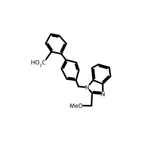 COCc1nc2ccccc2n1Cc1ccc(-c2ccccc2C(=O)O)cc1